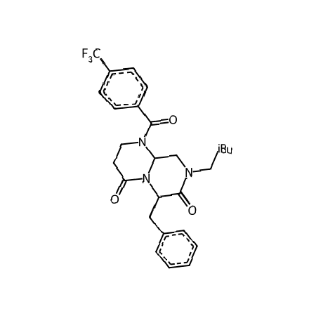 CCC(C)CN1CC2N(C(=O)c3ccc(C(F)(F)F)cc3)CCC(=O)N2C(Cc2ccccc2)C1=O